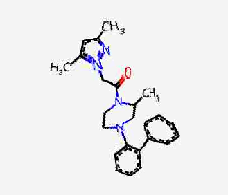 Cc1cc(C)n(CC(=O)N2CCN(c3ccccc3-c3ccccc3)CC2C)n1